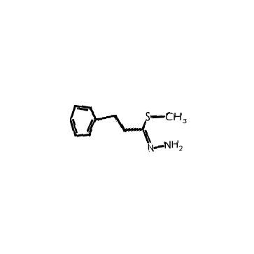 CSC(CCc1ccccc1)=NN